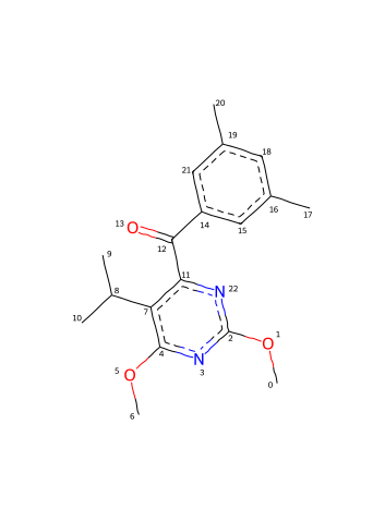 COc1nc(OC)c(C(C)C)c(C(=O)c2cc(C)cc(C)c2)n1